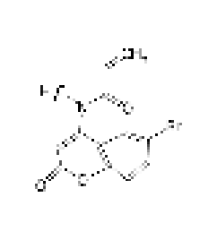 C=CC(=O)N(C)c1cc(=O)oc2ccc(Br)cc12